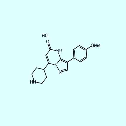 COc1ccc(-c2cnn3c(C4CCNCC4)cc(=O)[nH]c23)cc1.Cl